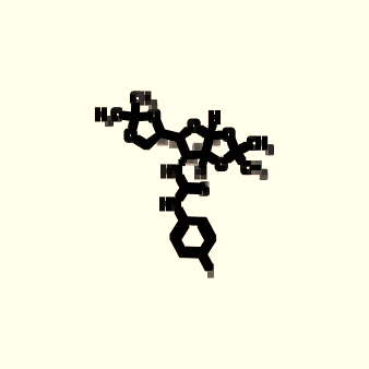 CC1(C)O[C@H]2O[C@H]([C@H]3COC(C)(C)O3)[C@@H](NC(=S)Nc3ccc(I)cc3)[C@H]2O1